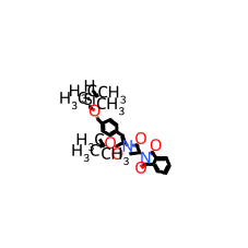 C[SiH](COCc1ccc(/C=C(\C(=O)OC(C)(C)C)N2C[C@H](N3C(=O)c4ccccc4C3=O)C2=O)cc1)C(C)(C)C